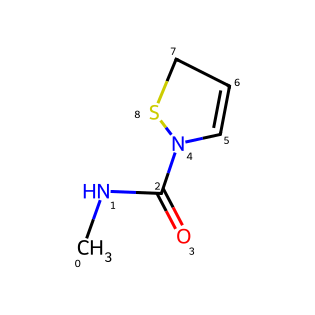 CNC(=O)N1C=CCS1